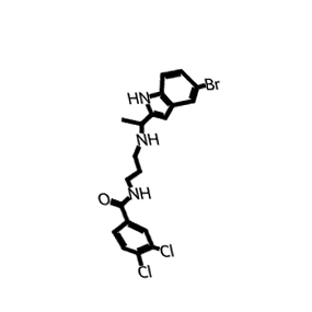 CC(NCCCNC(=O)c1ccc(Cl)c(Cl)c1)c1cc2cc(Br)ccc2[nH]1